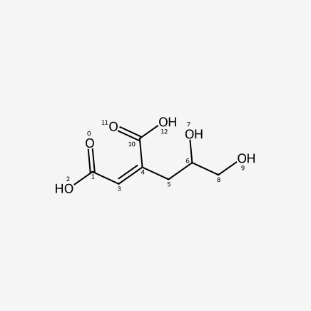 O=C(O)C=C(CC(O)CO)C(=O)O